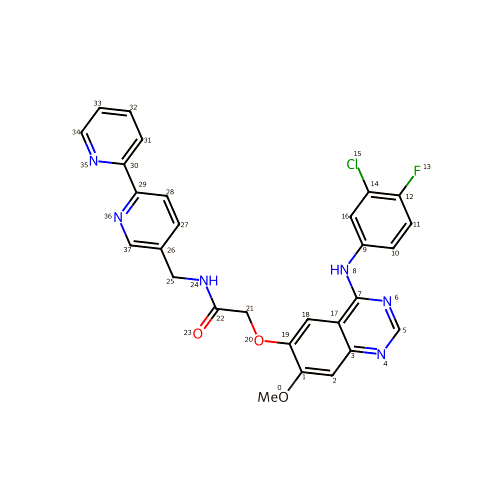 COc1cc2ncnc(Nc3ccc(F)c(Cl)c3)c2cc1OCC(=O)NCc1ccc(-c2ccccn2)nc1